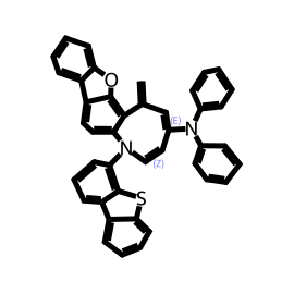 C=C1/C=C(N(c2ccccc2)c2ccccc2)\C=C/N(c2cccc3c2sc2ccccc23)c2ccc3c(oc4ccccc43)c21